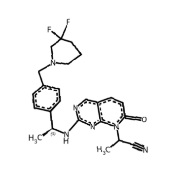 CC(C#N)n1c(=O)ccc2cnc(N[C@@H](C)c3ccc(CN4CCCC(F)(F)C4)cc3)nc21